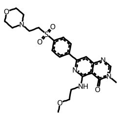 COCCNc1nc(-c2ccc(S(=O)(=O)CCN3CCOCC3)cc2)cc2ncn(C)c(=O)c12